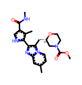 CNC(=O)c1c[nH]c(-c2nc3cc(C)ccn3c2C[C@H]2CN(C(=O)OC)CCO2)c1C